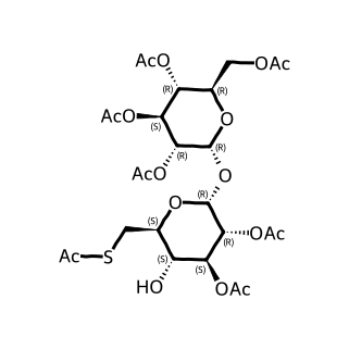 CC(=O)OC[C@H]1O[C@H](O[C@H]2O[C@H](CSC(C)=O)[C@@H](O)[C@H](OC(C)=O)[C@H]2OC(C)=O)[C@H](OC(C)=O)[C@@H](OC(C)=O)[C@@H]1OC(C)=O